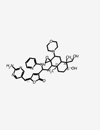 C[C@]12CC[C@@H](O)[C@@](C)(CO)C1CC(N1CCOCC1)C1(CO1)C2CC(Nc1ccccn1)C1=C/C(=C\c2cnc(N)nc2)OC1=O